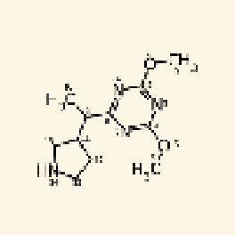 COc1nc(OC)nc(C(C)C2CCNC2)n1